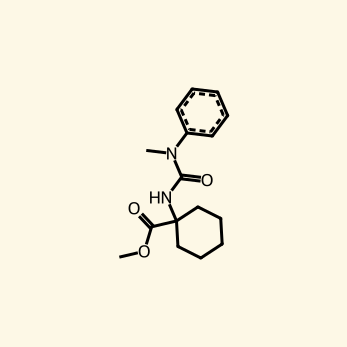 COC(=O)C1(NC(=O)N(C)c2ccccc2)CCCCC1